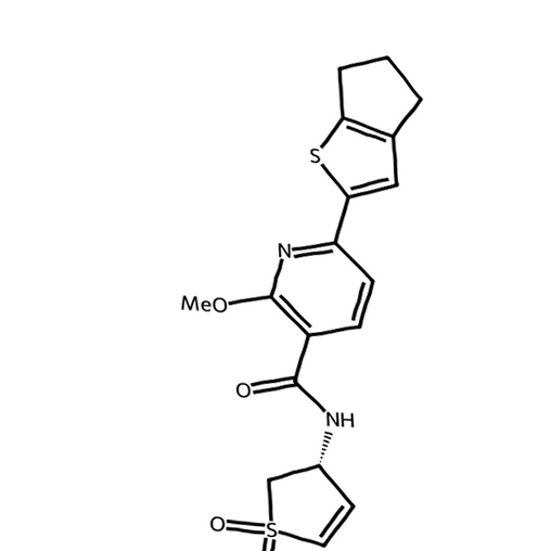 COc1nc(-c2cc3c(s2)CCC3)ccc1C(=O)N[C@@H]1C=CS(=O)(=O)C1